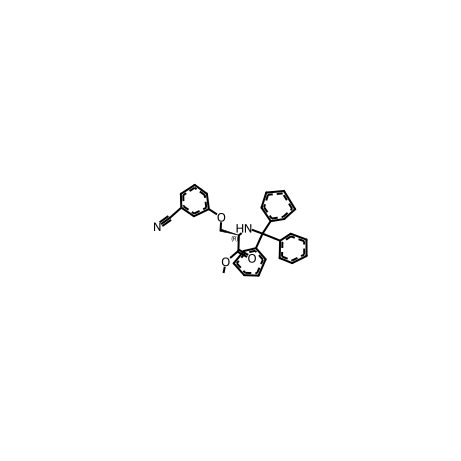 COC(=O)[C@@H](COc1cccc(C#N)c1)NC(c1ccccc1)(c1ccccc1)c1ccccc1